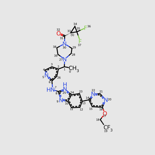 CC(c1ccnc(Nc2nc3ccc(-c4cc(OCC(F)(F)F)ncn4)cc3[nH]2)c1)N1CCN(C(=O)[C@@H]2CC2(F)F)CC1